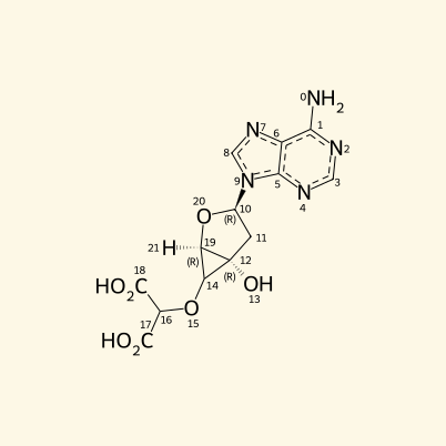 Nc1ncnc2c1ncn2[C@H]1C[C@@]2(O)C(OC(C(=O)O)C(=O)O)[C@H]2O1